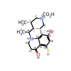 C[C@@H]1CN(C(=O)O)CC[C@@H]1[C@H](C)N1CCC(=O)c2c(F)cc(Br)cc21